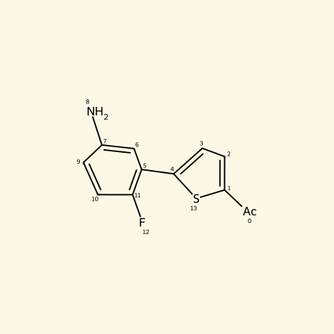 CC(=O)c1ccc(-c2cc(N)ccc2F)s1